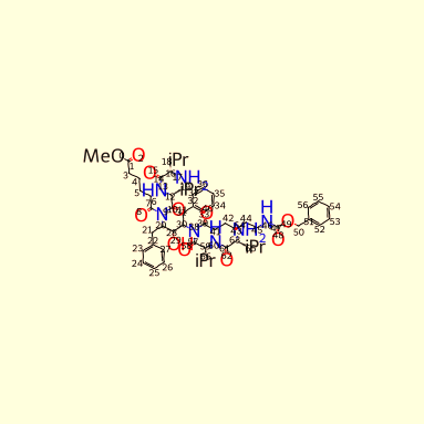 COC(=O)CCCCC(=O)N(C(=O)[C@@H](NC(=O)[C@@H](N)C(C)C)C(C)C)C(Cc1ccccc1)C(O)C(Cc1ccccc1)N(C(=O)CCCCCNC(=O)OCc1ccccc1)C(=O)[C@@H](NC(=O)[C@@H](N)C(C)C)C(C)C